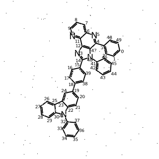 c1ccc(-c2nc3cccnc3c3nc(-c4ccc(-c5ccc6c(c5)c5ccccc5n6-c5ccccc5)cc4)n(-c4ccccc4)c23)cc1